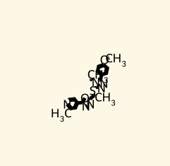 CCn1c(SC(C)c2nnc(-c3ccnc(C)c3)o2)nnc1-c1ccc(OC)cc1